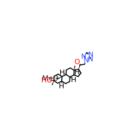 COC[C@]12CC[C@@](C)(O)C[C@H]1CC[C@H]1[C@@H]3CC[C@H](C(=O)Cn4ncnn4)[C@@]3(C)CC[C@@H]12